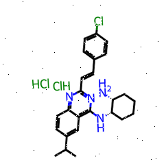 CC(C)c1ccc2nc(C=Cc3ccc(Cl)cc3)nc(N[C@H]3CCCC[C@H]3N)c2c1.Cl.Cl